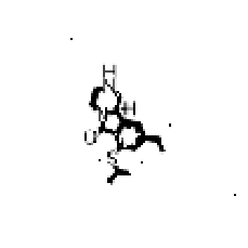 CCc1cc(SC(C)C)c2c(c1)[C@@H]1CNCCN1C2=O